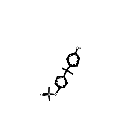 CC(C)(c1ccc(O)cc1)c1ccc(OP(C)(C)=O)cc1